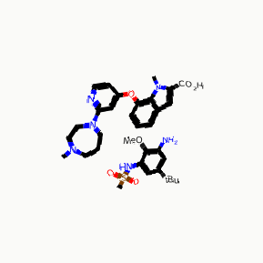 CN1CCCN(c2cc(Oc3cccc4cc(C(=O)O)n(C)c34)ccn2)CC1.COc1c(N)cc(C(C)(C)C)cc1NS(C)(=O)=O